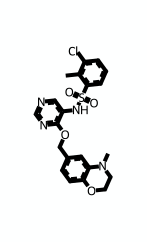 Cc1c(Cl)cccc1S(=O)(=O)Nc1cncnc1OCc1ccc2c(c1)N(C)CCO2